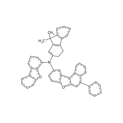 CC1(C)C2=C(CCC(N(c3ccc4oc5cc(-c6ccccc6)c6ccccc6c5c4c3)c3cccc4c3oc3ccccc34)=C2)c2ccccc21